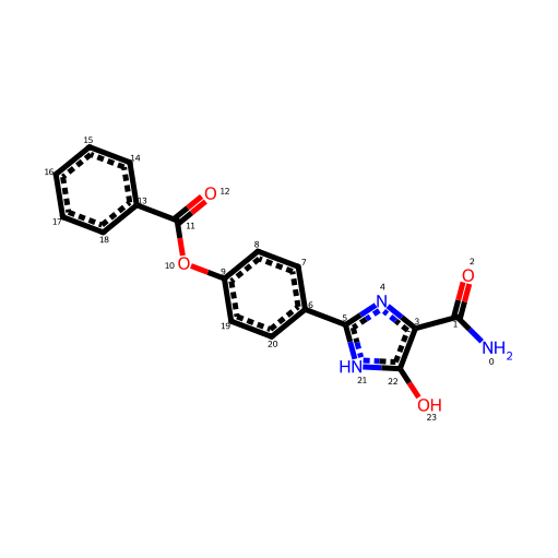 NC(=O)c1nc(-c2ccc(OC(=O)c3ccccc3)cc2)[nH]c1O